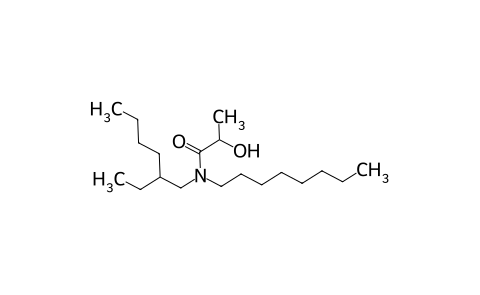 CCCCCCCCN(CC(CC)CCCC)C(=O)C(C)O